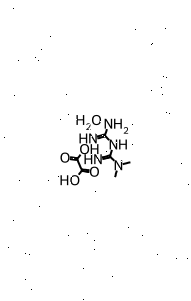 CN(C)C(=N)NC(=N)N.O.O=C(O)C(=O)O